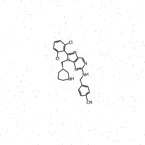 N#Cc1ccc(CNc2ncc3nc(-c4c(Cl)cccc4Cl)n(C[C@@H]4CCCNC4)c3n2)cc1